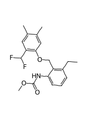 CCc1cccc(NC(=O)OC)c1COc1cc(C)c(C)cc1C(F)F